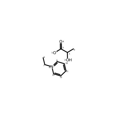 CC(O)C(=O)[O-].CC[n+]1ccccc1